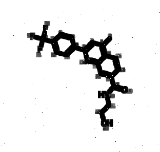 Cc1cc(-c2ccc(C(F)(F)F)cc2)nc2cc(C(=O)NCCO)ccc12